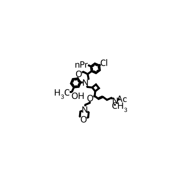 CCCc1cc(Cl)ccc1C1COc2ccc(C(C)O)cc2N(CC2CCC2C(/C=C/CCN(C)C(C)=O)OCCN2CCOCC2)C1